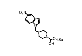 CC(C)(C)OC(O)N1CCC(Cn2ccc3cc([N+](=O)[O-])ccc32)CC1